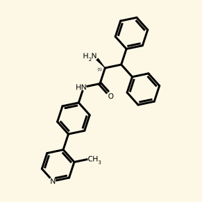 Cc1cnccc1-c1ccc(NC(=O)[C@@H](N)C(c2ccccc2)c2ccccc2)cc1